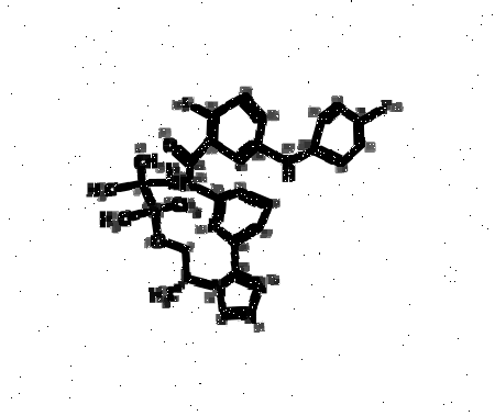 C[C@H](CO[Si](C)(C)C(C)(C)C)n1cnnc1-c1cccc(NC(=O)c2cc(Nc3ccc(F)cc3)ccc2F)n1